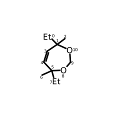 CCC1(C)C=CC(C)(CC)OCO1